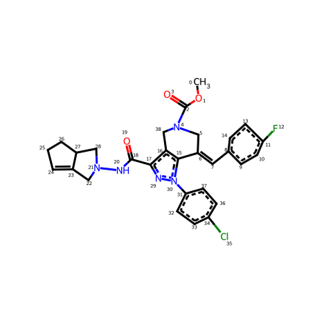 COC(=O)N1CC(=Cc2ccc(F)cc2)c2c(c(C(=O)NN3CC4=CCCC4C3)nn2-c2ccc(Cl)cc2)C1